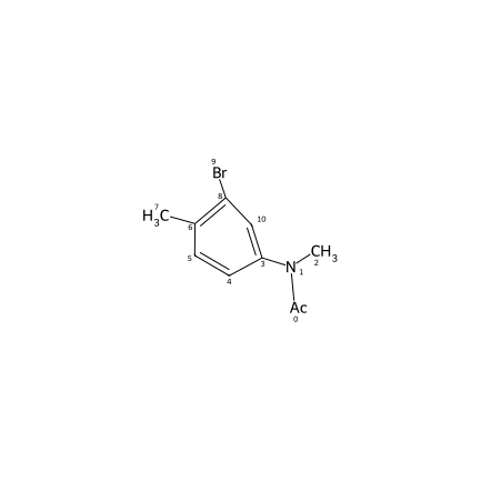 CC(=O)N(C)c1ccc(C)c(Br)c1